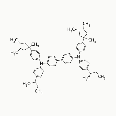 CCCC(C)(CCC)c1ccc(N(c2ccc(-c3ccc(N(c4ccc(C(C)CC)cc4)c4ccc(C(C)(CCC)CCC)cc4)cc3)cc2)c2ccc(C(C)CC)cc2)cc1